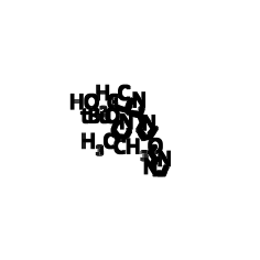 Cc1ncc(-c2ccc(OCc3ncccn3)cn2)c(N2CCC(C)(C)CC2)c1[C@H](OC(C)(C)C)C(=O)O